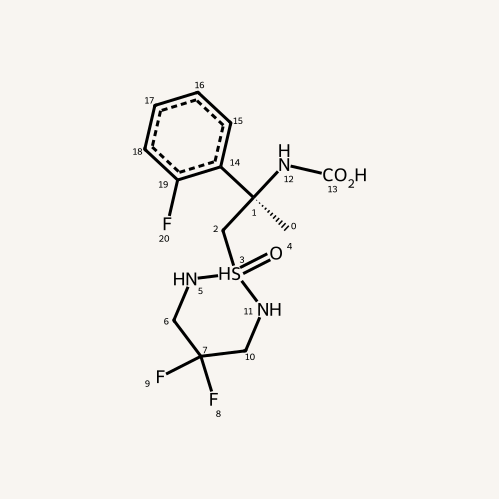 C[C@@](C[SH]1(=O)NCC(F)(F)CN1)(NC(=O)O)c1ccccc1F